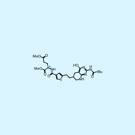 COC(=O)CC[C@@H](NC(=O)c1csc(CCC2CNc3nc(NC(=O)C(C)(C)C)nc(O)c3C2)c1)C(=O)OC